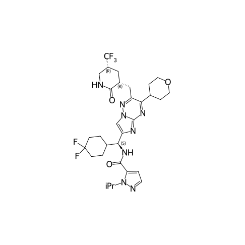 CC(C)n1nccc1C(=O)N[C@H](c1cn2nc(C[C@H]3C[C@@H](C(F)(F)F)CNC3=O)c(C3CCOCC3)nc2n1)C1CCC(F)(F)CC1